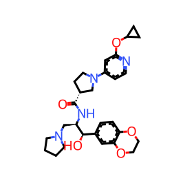 O=C(N[C@H](CN1CCCC1)[C@H](O)c1ccc2c(c1)OCCO2)[C@@H]1CCN(c2ccnc(OC3CC3)c2)C1